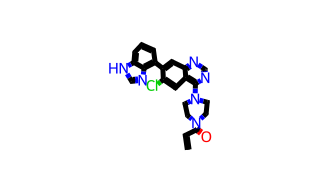 C=CC(=O)N1CCN(c2ncnc3cc(-c4cccc5[nH]cnc45)c(Cl)cc23)CC1